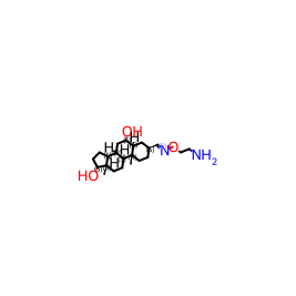 C[C@]12CC[C@H](/C=N/OCCN)C[C@@H]1[C@@H](O)C[C@@H]1[C@@H]2CC[C@]2(C)[C@@H](O)CC[C@@H]12